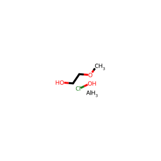 COCCO.OCl.[AlH3]